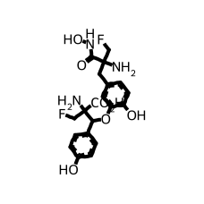 NC(CF)(Cc1ccc(O)c(OC(c2ccc(O)cc2)C(N)(CF)C(=O)O)c1)C(=O)NO